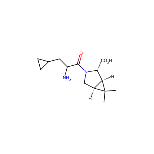 CC1(C)[C@@H]2[C@@H](C(=O)O)N(C(=O)C(N)CC3CC3)C[C@@H]21